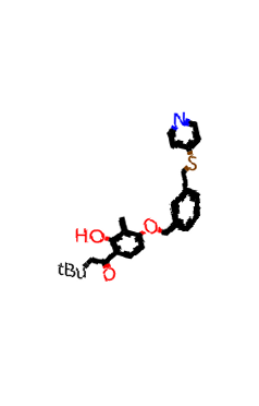 Cc1c(OCc2cccc(CSc3ccncc3)c2)ccc(C(=O)CC(C)(C)C)c1O